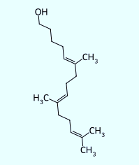 CC(C)=CCCC(C)=CCCC(C)=CCCCCO